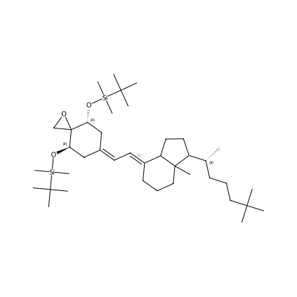 C[C@H](CCCC(C)(C)C)C1CCC2/C(=C/C=C3C[C@@H](O[Si](C)(C)C(C)(C)C)C4(CO4)[C@H](O[Si](C)(C)C(C)(C)C)C3)CCCC21C